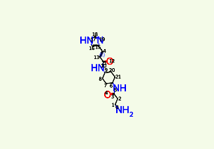 NCCC(=O)N[C@H]1CC[C@H](NC(=O)/C=C/c2c[nH]cn2)CC1